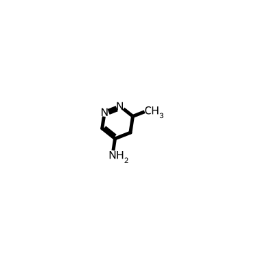 CC1CC(N)=CN=N1